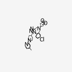 Cc1ccnc(N2CCC(c3nnc4n3-c3ccc(Cl)cc3CN(C3CS(=O)(=O)C3)C4)CC2)c1